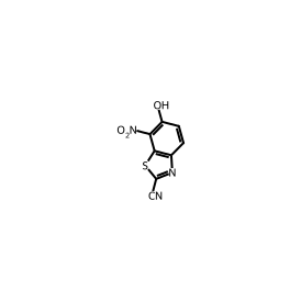 N#Cc1nc2ccc(O)c([N+](=O)[O-])c2s1